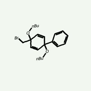 CCCCOC1(CBr)C=CC(OCCCC)(c2ccccc2)C=C1